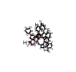 Cc1cccc(C(C)C)c1-n1ccc2c1-c1c(F)cccc1[C@]1(C=C(N(/C=C\N)c3c(C(C)C)cccc3C(C)C)c3c(F)cccc31)c1cccc(F)c1/C(N(/C=C\N)c1c(C(C)C)cc(-c3ccccc3)cc1C(C)C)=C\2